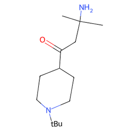 CC(C)(N)CC(=O)C1CCN(C(C)(C)C)CC1